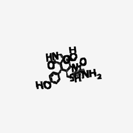 N[C@@H]1C(=O)N2C(C(=O)O)=C(C(=C3CCNC3=O)c3ccc(O)cc3)CS[C@H]12